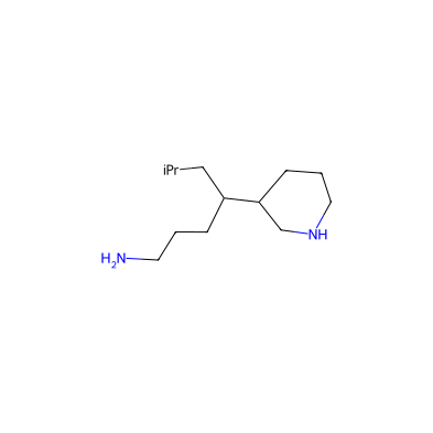 CC(C)CC(CCCN)C1CCCNC1